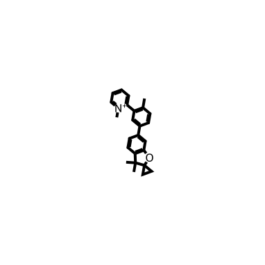 Cc1ccc(-c2ccc3c(c2)OC2(CC2)C3(C)C)cc1-c1cccc[n+]1C